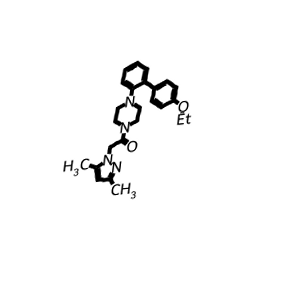 CCOc1ccc(-c2ccccc2N2CCN(C(=O)Cn3nc(C)cc3C)CC2)cc1